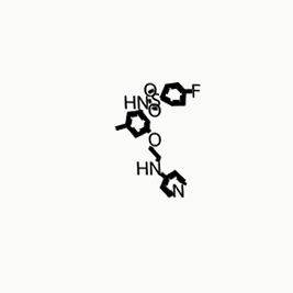 Cc1cc(NS(=O)(=O)c2ccc(F)cc2)cc(OCCNc2ccncc2)c1